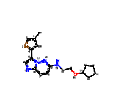 Cc1csc(-c2cnc3ccc(NCCOC4CCCC4)nn23)c1